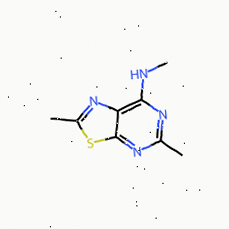 CNc1nc(C)nc2sc(C)nc12